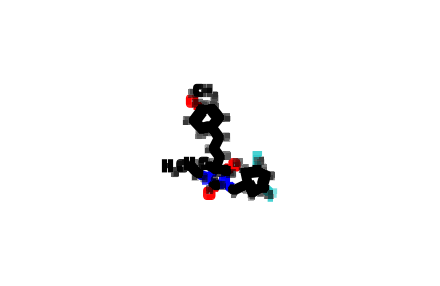 CCCN1C(=O)N(Cc2cc(F)cc(F)c2)C(=O)C1(C)CCCc1ccc(OC)cc1